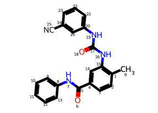 Cc1ccc(C(=O)Nc2ccccc2)cc1NC(=O)Nc1cccc(C#N)c1